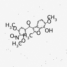 COc1cc(C(=O)c2c(C)oc3c(O)c(OC)ccc23)cc(OC)c1N=O